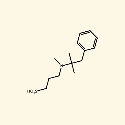 CN(CCCS(=O)(=O)O)C(C)(C)Cc1ccccc1